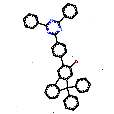 Brc1cc2c(cc1-c1ccc(-c3nc(-c4ccccc4)nc(-c4ccccc4)n3)cc1)-c1ccccc1C2(c1ccccc1)c1ccccc1